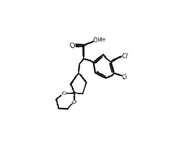 COC(=O)C(CC1CCC2(C1)OCCCO2)c1ccc(Cl)c(Cl)c1